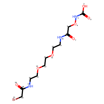 O=C(O)NOCC(=O)NCCOCCOCCNC(=O)CBr